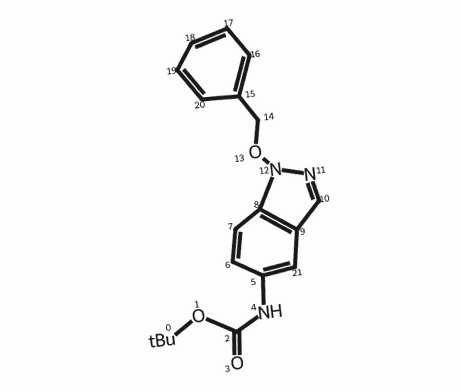 CC(C)(C)OC(=O)Nc1ccc2c(cnn2OCc2ccccc2)c1